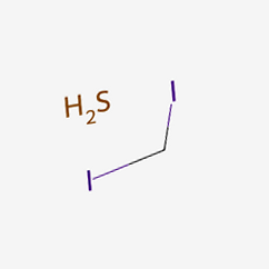 ICI.S